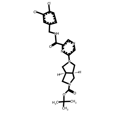 CC(C)(C)OC(=O)N1C[C@@H]2CN(c3cncc(C(=O)NCc4ccc(Cl)c(Cl)c4)n3)C[C@@H]2C1